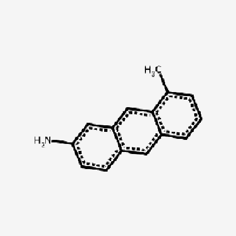 Cc1cccc2cc3ccc(N)cc3cc12